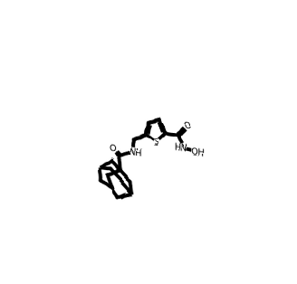 O=C(NO)c1ccc(CNC(=O)C23CC4CC(CC(C4)C2)C3)s1